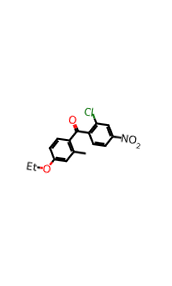 CCOc1ccc(C(=O)c2ccc([N+](=O)[O-])cc2Cl)c(C)c1